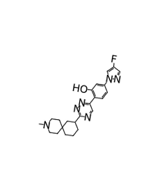 CN1CCC2(CCCC(c3ncc(-c4ccc(-n5cc(F)cn5)cc4O)nn3)C2)CC1